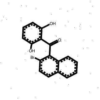 O=C(c1c(O)cccc1O)c1c(Br)ccc2ccccc12